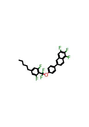 CCCCCc1cc(F)c(C(F)(F)Oc2ccc(-c3ccc4c(F)c(F)c(F)cc4c3)cc2)c(F)c1